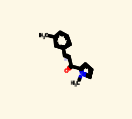 Cc1cccc(/C=C/C(=O)c2cccn2C)c1